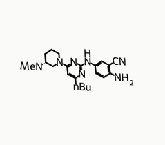 CCCCc1cc(N2CCC[C@@H](NC)C2)nc(Nc2ccc(N)c(C#N)c2)n1